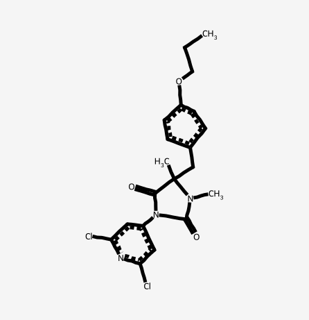 CCCOc1ccc(CC2(C)C(=O)N(c3cc(Cl)nc(Cl)c3)C(=O)N2C)cc1